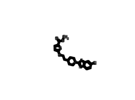 COC(=O)c1ccc(OCCC2CCN(c3nc4ccc(Cl)cc4s3)CC2)s1